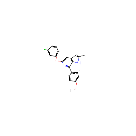 CC(C)Oc1ccc(-c2nc(Oc3cccc(Cl)c3)cc3cc(C(=O)O)[nH]c23)cc1